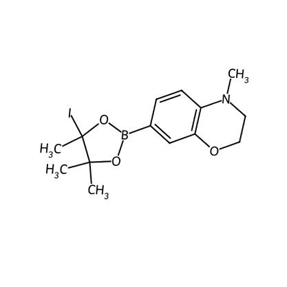 CN1CCOc2cc(B3OC(C)(C)C(C)(I)O3)ccc21